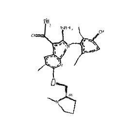 Cc1cc2c(C(N)=O)c(N)n(-c3c(C)ccc(O)c3C)c2nc1OC[C@H]1CCCN1C